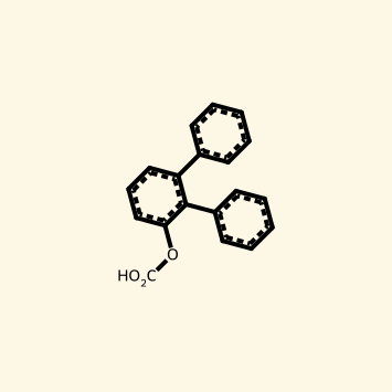 O=C(O)Oc1cccc(-c2ccccc2)c1-c1ccccc1